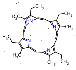 CCC1=C(C)c2cc3[nH]c(cc4nc(cc5[nH]c(cc1n2)c(C)c5CC)C(CC)=C4C)c(CC)c3C